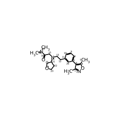 Cc1noc(C)c1-c1cccc(CCN(CC(=O)N(C)C)C2CCOC2)c1